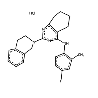 Cc1cc(F)ccc1Nc1nc(N2CCc3ccccc3C2)nc2c1CCCC2.Cl